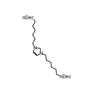 CCCCCCCCCCCCCCCCN1C=CN(CCCCCCCCCCCCCCCC)C1